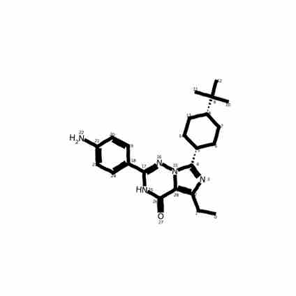 CCc1nc([C@H]2CC[C@@H](C(C)(C)C)CC2)n2nc(-c3ccc(N)cc3)[nH]c(=O)c12